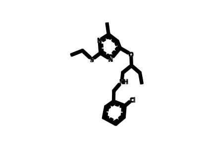 CCSc1nc(C)cc(OC(CC)CNCc2ccccc2Cl)n1